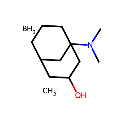 B.CN(C)C12CCCC(CC(O)C1)C2.[CH2]